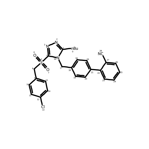 CCCCc1nnc(S(=O)(=O)Cc2ccc(Cl)cc2)n1Cc1ccc(-c2ccccc2C#N)cc1